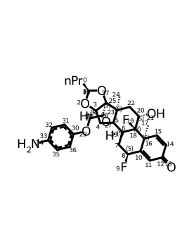 CCC[C@@H]1O[C@@H]2CC3[C@@H]4C[C@H](F)C5=CC(=O)C=C[C@]5(C)[C@@]4(F)[C@@H](O)C[C@]3(C)[C@]2(C(=O)COc2ccc(N)cc2)O1